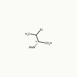 CCC(C)[C@@H](NC)C(=O)O